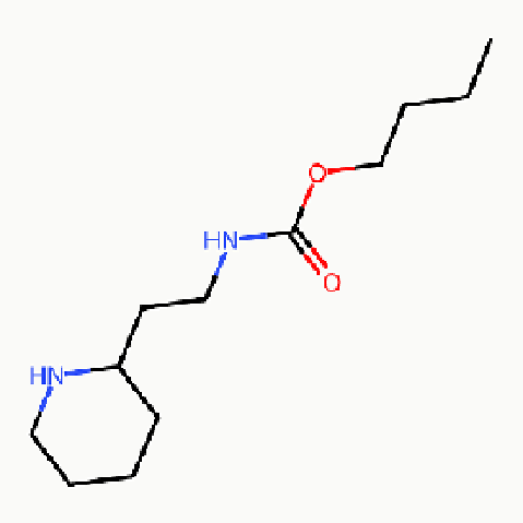 CCCCOC(=O)NCCC1CCCCN1